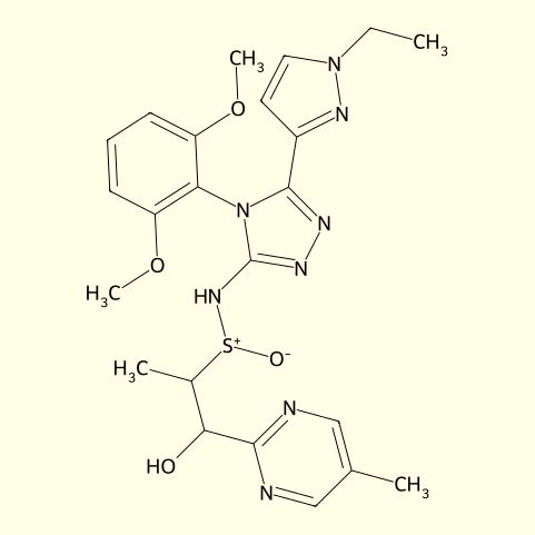 CCn1ccc(-c2nnc(N[S+]([O-])C(C)C(O)c3ncc(C)cn3)n2-c2c(OC)cccc2OC)n1